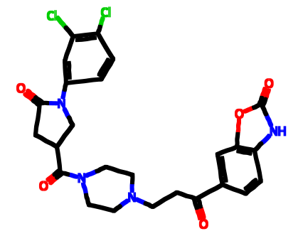 O=C(CCN1CCN(C(=O)C2CC(=O)N(c3ccc(Cl)c(Cl)c3)C2)CC1)c1ccc2[nH]c(=O)oc2c1